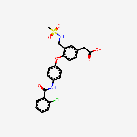 CS(=O)(=O)NCc1cc(CC(=O)O)ccc1Oc1ccc(NC(=O)c2ccccc2Cl)cc1